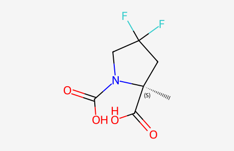 C[C@@]1(C(=O)O)CC(F)(F)CN1C(=O)O